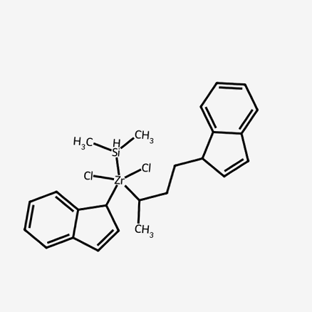 C[CH](CCC1C=Cc2ccccc21)[Zr]([Cl])([Cl])([CH]1C=Cc2ccccc21)[SiH](C)C